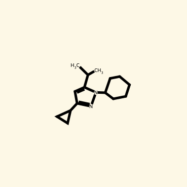 CC(C)c1cc(C2CC2)nn1C1CCCCC1